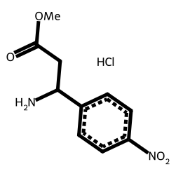 COC(=O)CC(N)c1ccc([N+](=O)[O-])cc1.Cl